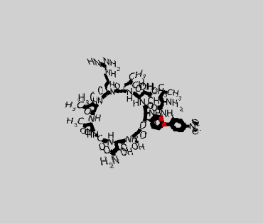 CC[C@H](C)[C@@H]1NC(=O)[C@@H](CCCNC(=N)N)NC(=O)[C@H](CC(C)C)NC(=O)[C@H]([C@H](O)C(C)C)NC(=O)[C@@H](NC(=O)[C@H](Cc2ccc([N+](=O)[O-])cc2)NC(=O)[C@H](N)CC(C)C)[C@@H](c2ccccc2)OC(=O)[C@H](CO)NC(=O)[C@H]([C@H](O)C(N)=O)NC(=O)CNC(=O)[C@H]([C@H](C)O)NC1=O